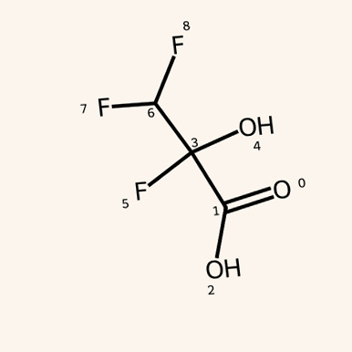 O=C(O)C(O)(F)C(F)F